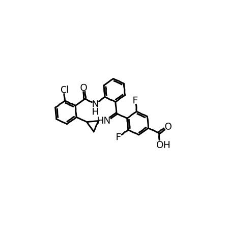 N=C(c1ccccc1NC(=O)c1c(Cl)cccc1C1CC1)c1c(F)cc(C(=O)O)cc1F